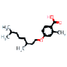 Cc1cc(OCCC(C)CCCC(C)C)ccc1C(=O)O